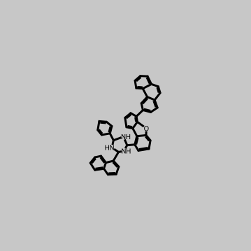 c1ccc(C2NC(c3cccc4ccccc34)NC(c3cccc4oc5c(-c6ccc7ccc8ccccc8c7c6)cccc5c34)N2)cc1